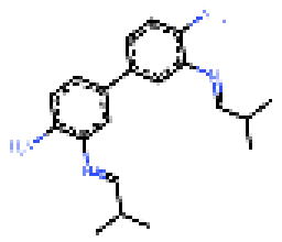 CC(C)C=Nc1cc(-c2ccc(N)c(N=CC(C)C)c2)ccc1N